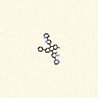 CC1C=c2c(C3=CC=C(C4CC=CC=N4)NC3C)c3ccc(-c4ccccc4)cc3c(-c3ccc(-c4ccccn4)nc3)c2=CC1